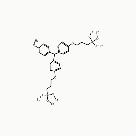 CCCCOc1ccc(C(c2ccc(OCCC[Si](OCC)(OCC)OCC)cc2)c2ccc(OCCC[Si](OCC)(OCC)OCC)cc2)cc1